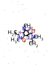 C=CCN(C)C(=O)c1c(I)c(N=C)c(I)c(C(=O)N(C)CC=C)c1I